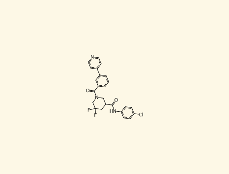 O=C(Nc1ccc(Cl)cc1)C1CN(C(=O)c2cccc(-c3ccncc3)c2)CC(F)(F)C1